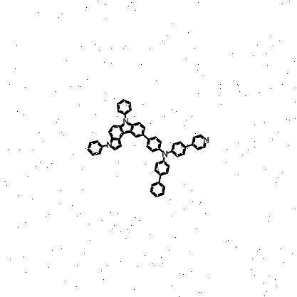 c1ccc(-c2ccc(N(c3ccc(-c4ccncc4)cc3)c3ccc(-c4ccc5c(c4)c4c6ccn(-c7ccccc7)c6ccc4n5-c4ccccc4)cc3)cc2)cc1